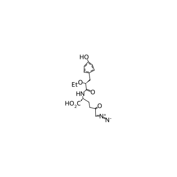 CCO[C@@H](Cc1ccc(O)cc1)C(=O)N[C@@H](CCC(=O)C=[N+]=[N-])C(=O)O